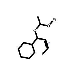 CCOC(C)OC(/C=C\I)C1CCCCC1